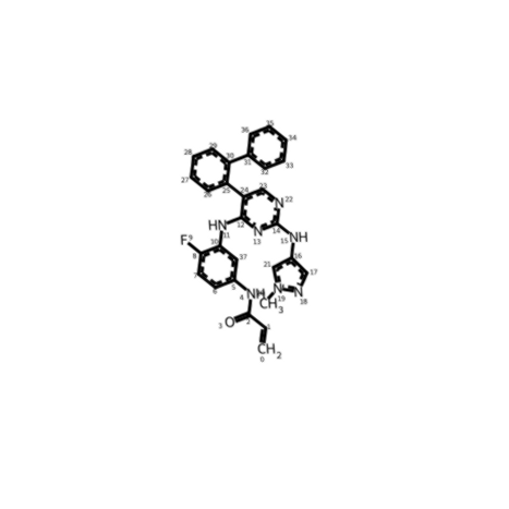 C=CC(=O)Nc1ccc(F)c(Nc2nc(Nc3cnn(C)c3)ncc2-c2ccccc2-c2ccccc2)c1